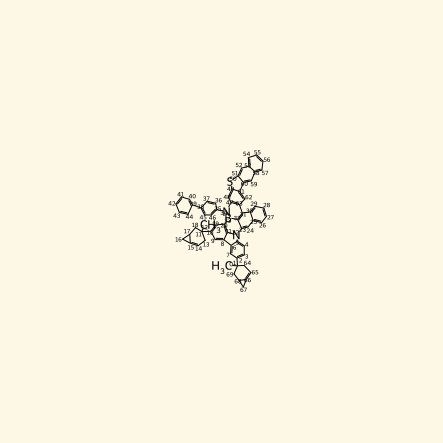 CC1(c2ccc3c(c2)c2cc(C4(C)CC=C5CC5C4)cc4c2n3-c2cc3ccccc3c3c2B4N(c2ccc(-c4ccccc4)cc2)c2cc4sc5cc6ccccc6cc5c4cc2-3)CC=C2CC2C1